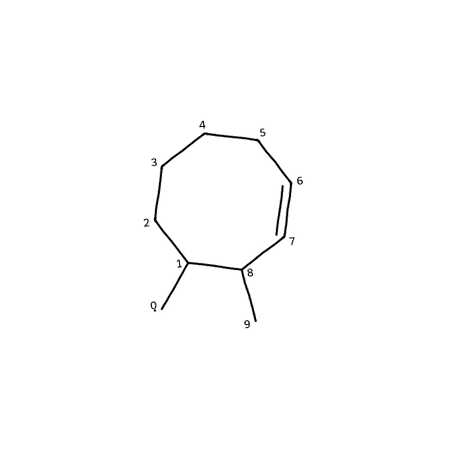 [CH2]C1CCCCC=CC1C